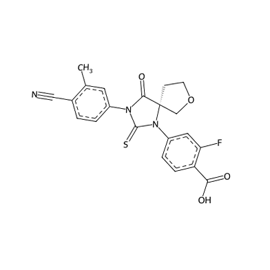 Cc1cc(N2C(=O)[C@]3(CCOC3)N(c3ccc(C(=O)O)c(F)c3)C2=S)ccc1C#N